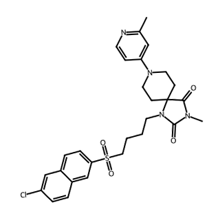 Cc1cc(N2CCC3(CC2)C(=O)N(C)C(=O)N3CCCCS(=O)(=O)c2ccc3cc(Cl)ccc3c2)ccn1